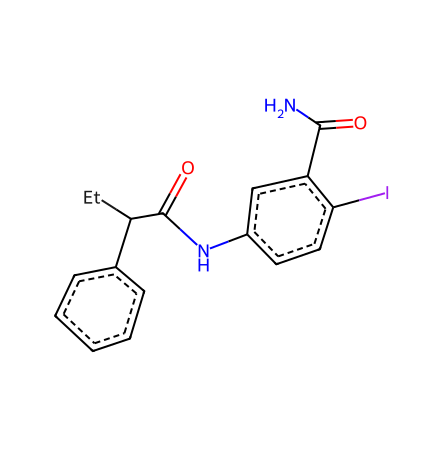 CCC(C(=O)Nc1ccc(I)c(C(N)=O)c1)c1ccccc1